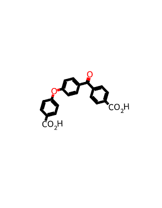 O=C(O)c1ccc(Oc2ccc(C(=O)c3ccc(C(=O)O)cc3)cc2)cc1